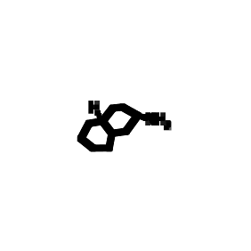 N[C@@H]1CC[C@@H]2CCCCC2C1